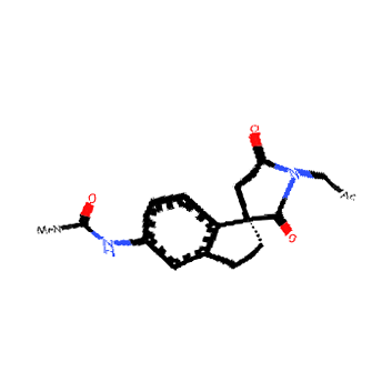 CNC(=O)Nc1ccc2c(c1)CC[C@@]21CC(=O)N(CC(C)=O)C1=O